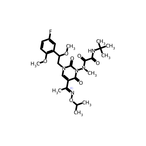 COc1ccc(F)cc1C(Cn1cc(/C(C)=N/OC(C)C)c(=O)n(N(C)C(=O)C(=O)NC(C)(C)C)c1=O)OC